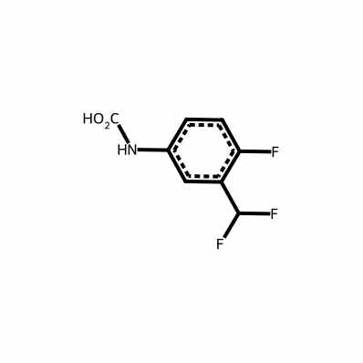 O=C(O)Nc1ccc(F)c(C(F)F)c1